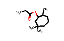 CCC(=O)OC1CC(C)(C)CCCC1C